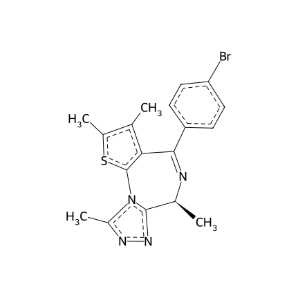 Cc1sc2c(c1C)C(c1ccc(Br)cc1)=N[C@@H](C)c1nnc(C)n1-2